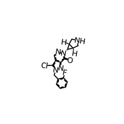 O=c1c2nn(Cc3ccccc3F)c(Cl)c2cnn1[C@@H]1[C@@H]2CNC[C@@H]21